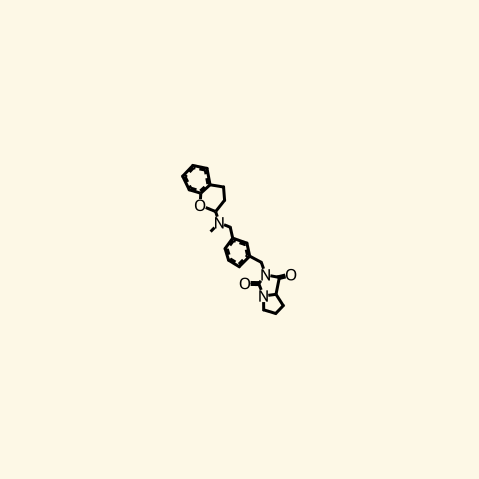 CN(Cc1cccc(CN2C(=O)C3CCCN3C2=O)c1)C1CCc2ccccc2O1